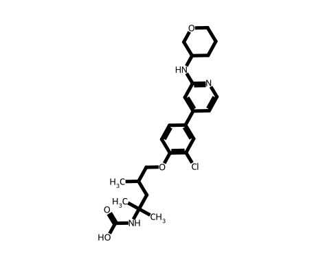 CC(COc1ccc(-c2ccnc(NC3CCCOC3)c2)cc1Cl)CC(C)(C)NC(=O)O